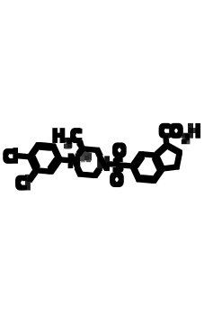 C[C@H]1CN(S(=O)(=O)c2ccc3c(c2)C(C(=O)O)CC3)CCN1c1ccc(Cl)c(Cl)c1